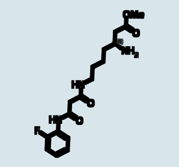 COC(=O)C[C@@H](N)CCCCNC(=O)CC(=O)Nc1ccccc1F